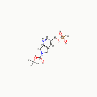 CC(C)(C)OC(=O)N1Cc2cc(COS(C)(=O)=O)cnc2C1